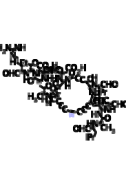 CCC(=O)[C@@H](NC(=O)[C@@H](CC(=O)[C@H](C)NC(=O)[C@]1(C)CCC/C=C\CCC[C@](C)(CC(=O)[C@@H](NC(=O)[C@@H](C)N[C@H](C=O)CC(C)C)N[C@@H](C)C=O)C(=O)N[C@@H](N[C@H](C=O)C(C)C)C(=O)CCC(=O)N[C@@H](N[C@H](C=O)CC(=O)O)C(=O)C1)N[C@H](C=O)CC(=O)O)N[C@H](C=O)CCCNC(=N)N